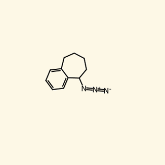 [N-]=[N+]=NC1CCCCc2ccccc21